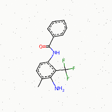 Cc1ccc(NC(=O)c2ccccc2)c(C(F)(F)F)c1N